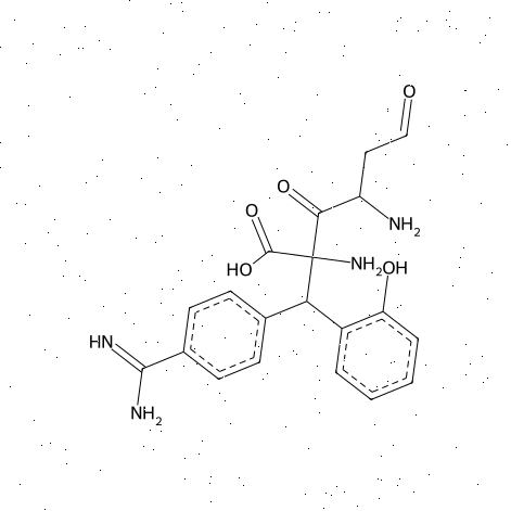 N=C(N)c1ccc(C(c2ccccc2O)C(N)(C(=O)O)C(=O)C(N)CC=O)cc1